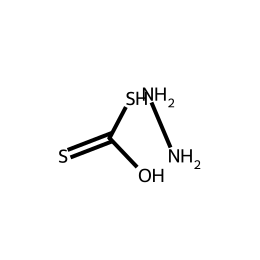 NN.OC(=S)S